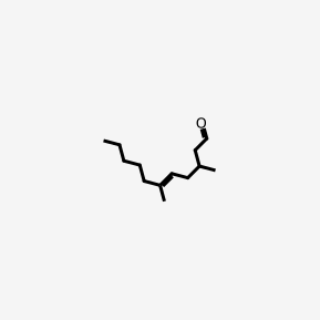 CCCCCC(C)=CCC(C)CC=O